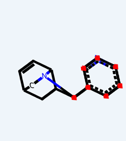 C1=CC2C(Cc3cccnc3)CC1CN2Cc1ccccc1